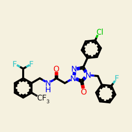 O=C(Cn1nc(-c2ccc(Cl)cc2)n(Cc2ccccc2F)c1=O)NCc1c(C(F)F)cccc1C(F)(F)F